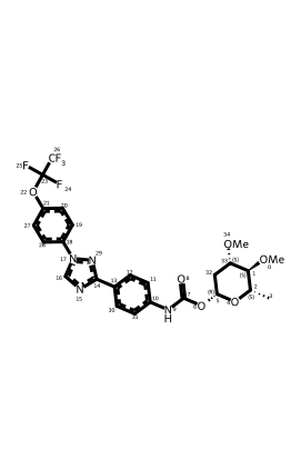 CO[C@H]1[C@H](C)O[C@H](OC(=O)Nc2ccc(-c3ncn(-c4ccc(OC(F)(F)C(F)(F)F)cc4)n3)cc2)C[C@@H]1OC